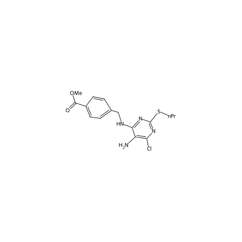 CCCSc1nc(Cl)c(N)c(NCc2ccc(C(=O)OC)cc2)n1